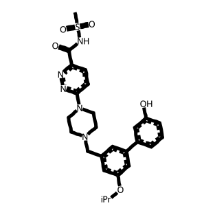 CC(C)Oc1cc(CN2CCN(c3ccc(C(=O)NS(C)(=O)=O)nn3)CC2)cc(-c2cccc(O)c2)c1